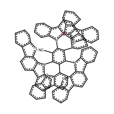 N#Cc1c(-n2c3ccccc3c3ccc4c5ccccc5sc4c32)c(-c2cccc3c2oc2ccccc23)c(-n2c3ccccc3c3ccc4c5ccccc5sc4c32)c(-c2cccc3c2oc2ccccc23)c1-n1c2ccccc2c2ccc3c4ccccc4sc3c21